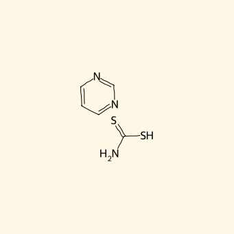 NC(=S)S.c1cncnc1